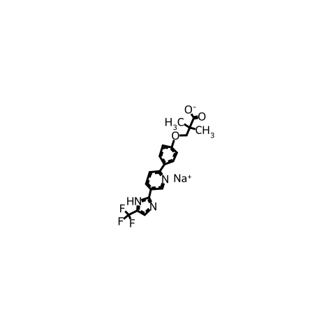 CC(C)(COc1ccc(-c2ccc(-c3ncc(C(F)(F)F)[nH]3)cn2)cc1)C(=O)[O-].[Na+]